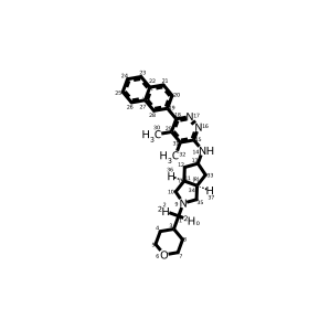 [2H]C([2H])(C1CCOCC1)N1C[C@H]2CC(Nc3nnc(-c4ccc5ccccc5c4)c(C)c3C)C[C@H]2C1